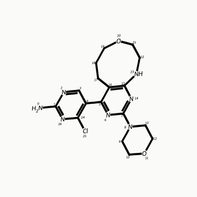 Nc1ncc(-c2nc(N3CCOCC3)nc3c2CCCOCCN3)c(Cl)n1